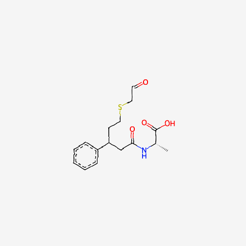 C[C@H](NC(=O)CC(CCSCC=O)c1ccccc1)C(=O)O